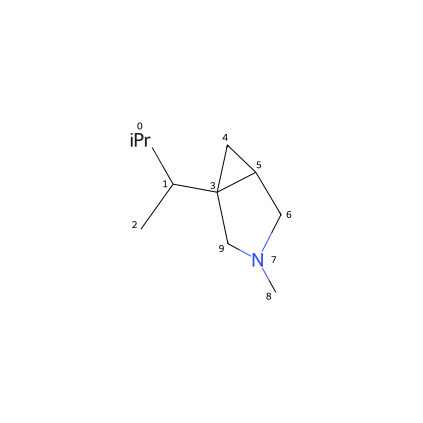 CC(C)C(C)C12CC1CN(C)C2